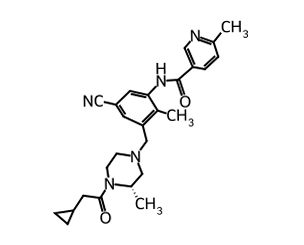 Cc1ccc(C(=O)Nc2cc(C#N)cc(CN3CCN(C(=O)CC4CC4)[C@@H](C)C3)c2C)cn1